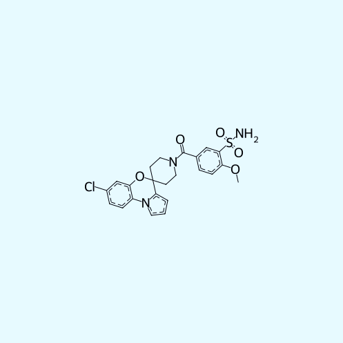 COc1ccc(C(=O)N2CCC3(CC2)Oc2cc(Cl)ccc2-n2cccc23)cc1S(N)(=O)=O